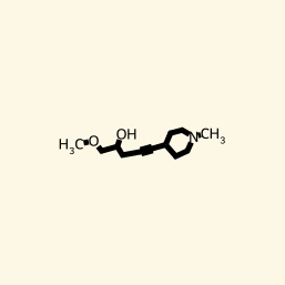 COCC(O)CC#CC1CCN(C)CC1